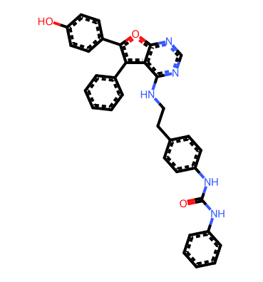 O=C(Nc1ccccc1)Nc1ccc(CCNc2ncnc3oc(-c4ccc(O)cc4)c(-c4ccccc4)c23)cc1